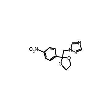 O=[N+]([O-])c1ccc(C2(Cn3cncn3)OCCO2)cc1